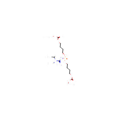 CCCCCOC(=O)OCCCCOP(=O)(NC(=N)N(C)C(CCCC)C(=O)O)OCCCCOC(=O)OCCCCC